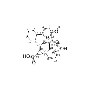 COc1ccc(C2CCCCC2)c2c1cc1n2C=C2C(=C3C=CC[C@@H](C(=O)O)C31)C2C(=O)O